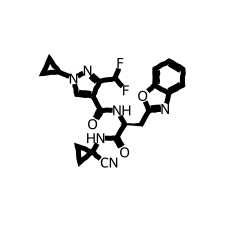 N#CC1(NC(=O)[C@H](Cc2nc3ccccc3o2)NC(=O)c2cn(C3CC3)nc2C(F)F)CC1